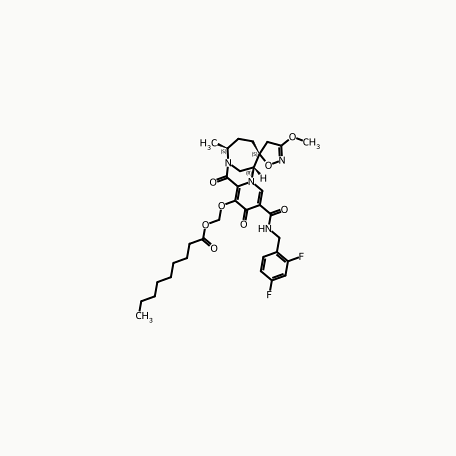 CCCCCCCCC(=O)OCOc1c2n(cc(C(=O)NCc3ccc(F)cc3F)c1=O)[C@@H]1CN(C2=O)[C@@H](C)CC[C@]12CC(OC)=NO2